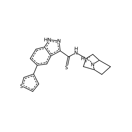 CN1C2CCC1CC(NC(=S)c1n[nH]c3ccc(-c4ccsc4)cc13)C2